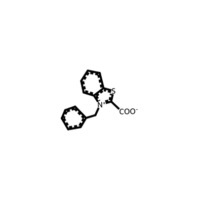 O=C([O-])c1sc2ccccc2[n+]1Cc1ccccc1